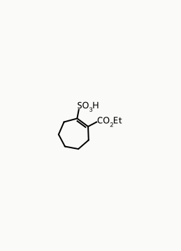 CCOC(=O)C1=C(S(=O)(=O)O)CCCCC1